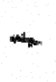 CCCOCCOCC(=O)NCCOCCOCC(=O)NCCCC[C@H](C)C(N)=O